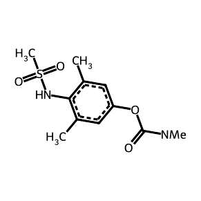 CNC(=O)Oc1cc(C)c(NS(C)(=O)=O)c(C)c1